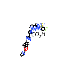 Cc1c(Nc2nc3ccc(F)cc3s2)nnc2c1CCCN2c1ccc(-c2cnn(CC34CC5(C)CC6(OCCN7CCCC7)CC(C)(C3)C56C4)c2C)c(C(=O)O)n1